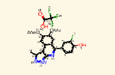 COc1cc2c(-c3ccc(O)c(F)c3)nc3[nH]nc(C)c3c2cc1OC.O=C(O)C(F)(F)F